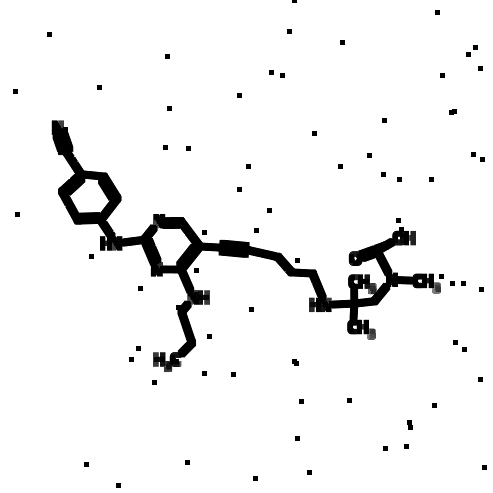 CCCNc1nc(Nc2ccc(C#N)cc2)ncc1C#CCCCNC(C)(C)CN(C)C(=O)O